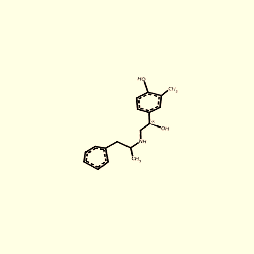 Cc1cc([C@@H](O)CNC(C)Cc2ccccc2)ccc1O